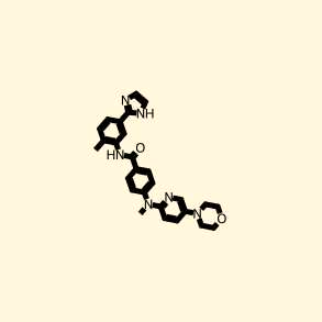 Cc1ccc(-c2ncc[nH]2)cc1NC(=O)c1ccc(N(C)c2ccc(N3CCOCC3)cn2)cc1